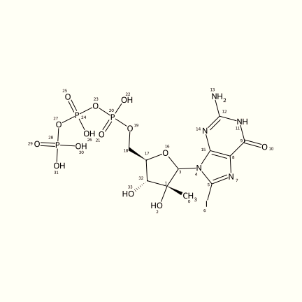 C[C@]1(O)C(n2c(I)nc3c(=O)[nH]c(N)nc32)O[C@H](COP(=O)(O)OP(=O)(O)OP(=O)(O)O)[C@H]1O